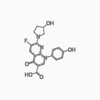 O=C(O)c1cn(-c2ccc(O)cc2)c2nc(N3CCC(O)C3)c(F)cc2c1=O